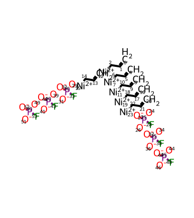 C=C[CH2][Ni+2].C=C[CH2][Ni+2].C=C[CH2][Ni+2].C=C[CH2][Ni+2].C=C[CH2][Ni+2].C=C[CH2][Ni+2].O=P([O-])([O-])F.O=P([O-])([O-])F.O=P([O-])([O-])F.O=P([O-])([O-])F.O=P([O-])([O-])F.O=P([O-])([O-])F